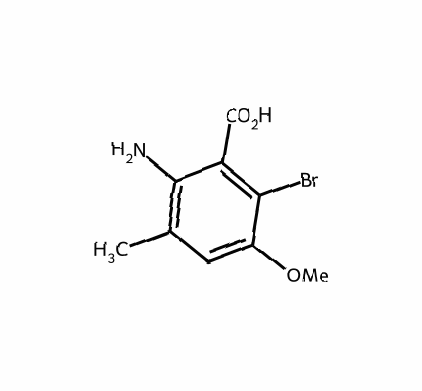 COc1cc(C)c(N)c(C(=O)O)c1Br